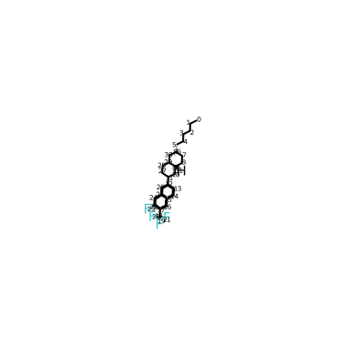 CCCCCC[C@@H]1CC[C@@H]2CC(c3ccc4cc(C(F)(F)F)c(F)cc4c3)CCC2C1